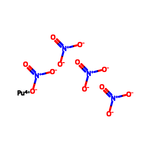 O=[N+]([O-])[O-].O=[N+]([O-])[O-].O=[N+]([O-])[O-].O=[N+]([O-])[O-].[Pu+4]